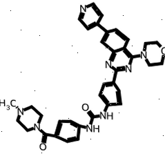 CN1CCN(C(=O)c2ccc(NC(=O)Nc3ccc(-c4nc(N5CCOCC5)c5ccc(-c6ccncc6)cc5n4)cc3)cc2)CC1